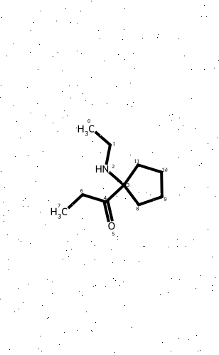 CCNC1(C(=O)CC)CCCC1